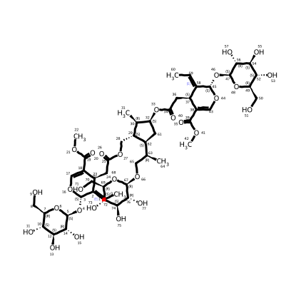 C/C=C1/[C@H](O[C@@H]2O[C@H](CO)[C@@H](O)[C@H](O)[C@H]2O)OC=C(C(=O)OC)[C@H]1CC(=O)OC[C@@H]1[C@@H](C)[C@@H](OC(=O)C[C@@H]2C(C(=O)OC)=CO[C@@H](O[C@@H]3O[C@H](CO)[C@@H](O)[C@H](O)[C@H]3O)/C2=C/C)C[C@H]1[C@@H](C)CO[C@@H]1O[C@H](CO)[C@@H](O)[C@H](O)[C@H]1O